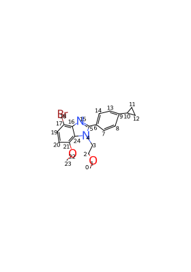 COCCn1c(-c2ccc(C3CC3)cc2)nc2c(Br)ccc(OC)c21